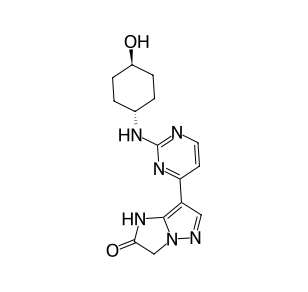 O=C1Cn2ncc(-c3ccnc(N[C@H]4CC[C@H](O)CC4)n3)c2N1